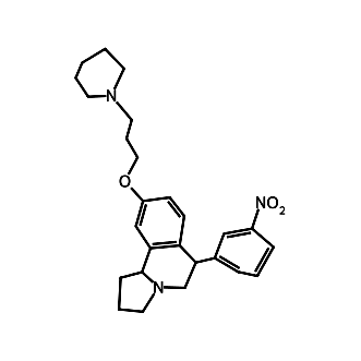 O=[N+]([O-])c1cccc(C2CN3CCCC3c3cc(OCCCN4CCCCC4)ccc32)c1